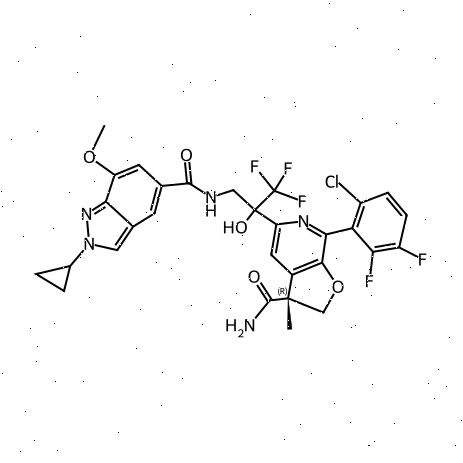 COc1cc(C(=O)NCC(O)(c2cc3c(c(-c4c(Cl)ccc(F)c4F)n2)OC[C@]3(C)C(N)=O)C(F)(F)F)cc2cn(C3CC3)nc12